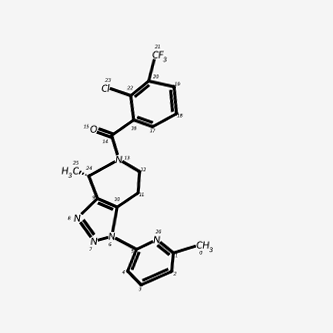 Cc1cccc(-n2nnc3c2CCN(C(=O)c2cccc(C(F)(F)F)c2Cl)[C@H]3C)n1